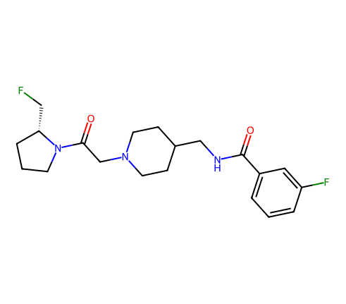 O=C(NCC1CCN(CC(=O)N2CCC[C@@H]2CF)CC1)c1cccc(F)c1